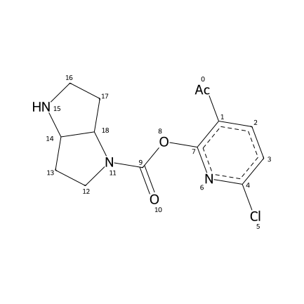 CC(=O)c1ccc(Cl)nc1OC(=O)N1CCC2NCCC21